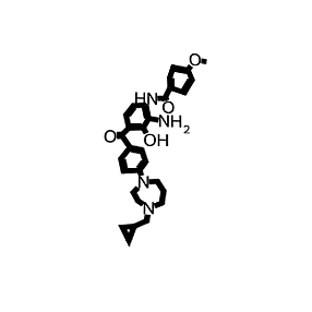 COc1ccc(C(=O)Nc2ccc(C(=O)c3ccc(N4CCCN(CC5CC5)CC4)cc3)c(O)c2N)cc1